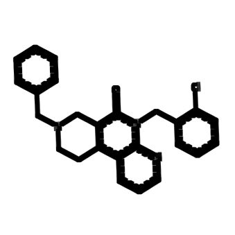 O=c1c2c(c3cccnc3n1Cc1ccccc1Cl)CCN(Cc1ccccc1)C2